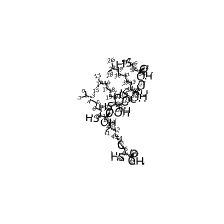 CC(C)CCCCCC(S)C(=O)O.CC(C)CCCCCC(S)C(=O)O.CC(C)CCCCCC(S)C(=O)O.CC(C)CCCCCC(S)C(=O)O.O=C(O)CCS